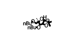 CCCCOC[C@@]1(C)O[C@@H]2OC(C)(C)OC2C1OCCCC